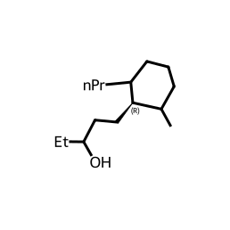 CCCC1CCCC(C)[C@H]1CCC(O)CC